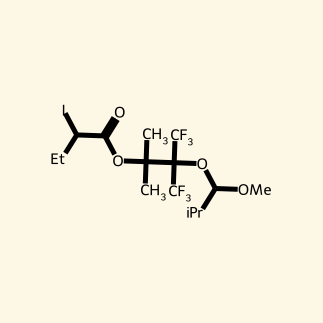 CCC(I)C(=O)OC(C)(C)C(OC(OC)C(C)C)(C(F)(F)F)C(F)(F)F